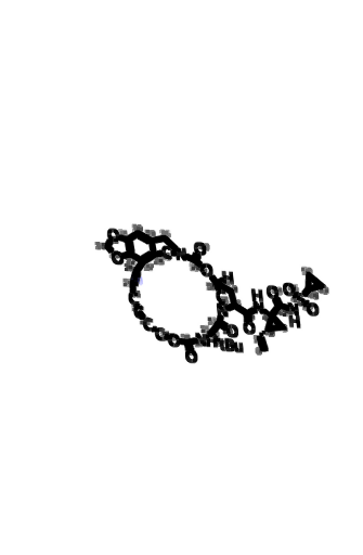 C=C[C@H]1C[C@@]1(NC(=O)C1C[C@@H]2CN1C(=O)[C@H](C(C)(C)C)NC(=O)OCCCC/C=C\c1c3c(cc4c1OCO4)CN(C3)C(=O)O2)C(=O)NS(=O)(=O)C1CC1